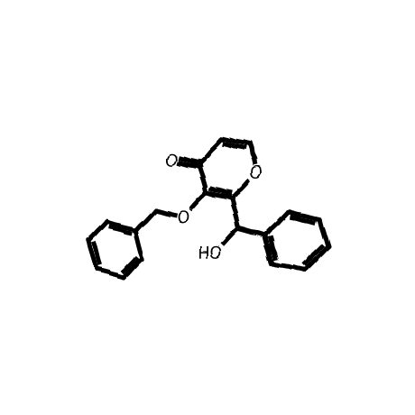 O=c1ccoc(C(O)c2ccccc2)c1OCc1ccccc1